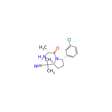 C[C@@H](N)C(=O)N1C(C(C)(C)C#N)CC[C@H]1c1cccc(Cl)c1